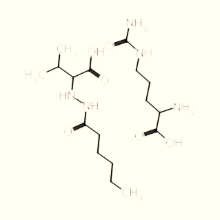 CCCCCC(=O)NNC(C(=O)O)C(C)C.NC(=O)NCCCC(N)C(=O)O